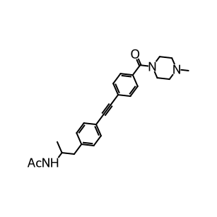 CC(=O)NC(C)Cc1ccc(C#Cc2ccc(C(=O)N3CCN(C)CC3)cc2)cc1